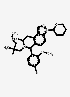 COCC(C)(F)CN1C(C)Cc2c(ccc3c2cnn3C2CCCCO2)C1c1ccc(Br)cc1OC